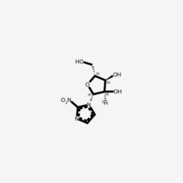 [2H][C@@]1(O)[C@H](O)[C@@H](CO)O[C@H]1n1ccnc1[N+](=O)[O-]